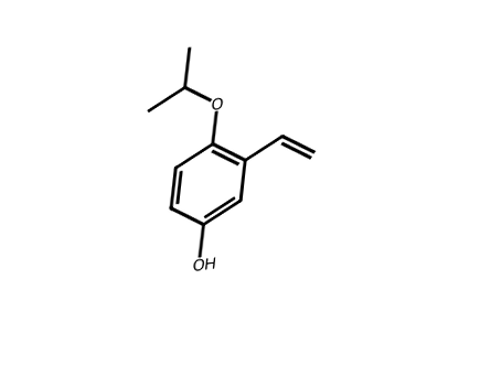 C=Cc1cc(O)ccc1OC(C)C